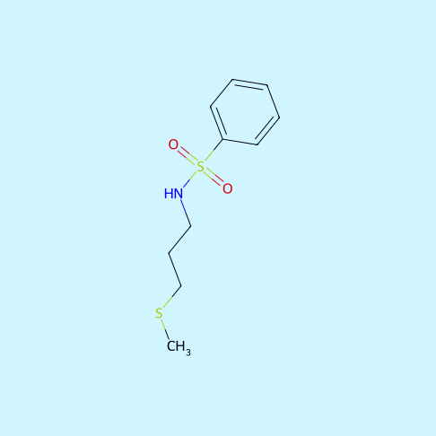 CSCCCNS(=O)(=O)c1ccccc1